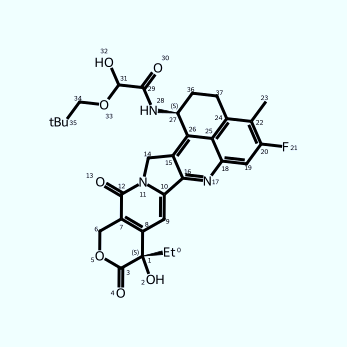 CC[C@@]1(O)C(=O)OCc2c1cc1n(c2=O)Cc2c-1nc1cc(F)c(C)c3c1c2[C@@H](NC(=O)C(O)OCC(C)(C)C)CC3